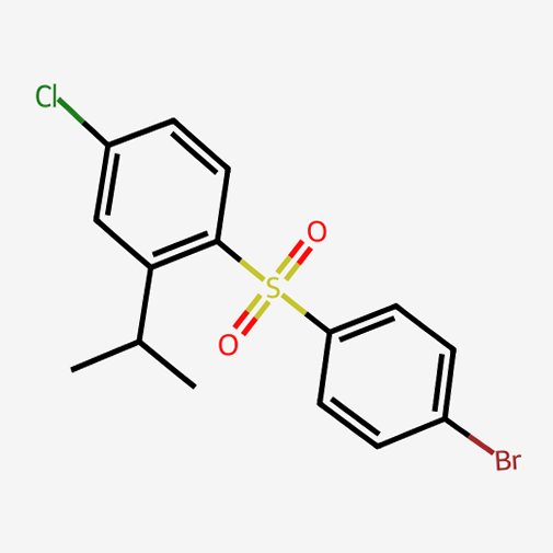 CC(C)c1cc(Cl)ccc1S(=O)(=O)c1ccc(Br)cc1